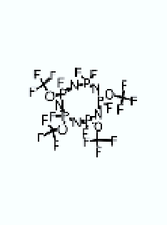 FC(F)(F)OP1(F)=NP(F)(F)=NP(F)(OC(F)(F)F)=NP(F)(OC(F)(F)F)=NP(F)(OC(F)(F)F)=N1